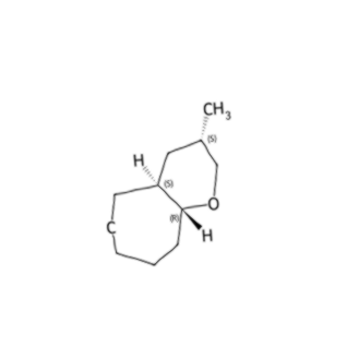 C[C@@H]1CO[C@@H]2CCCCC[C@H]2C1